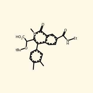 CCNC(=O)c1ccc2c(-c3ccc(C)c(C)c3)c(C(OC(C)(C)C)C(=O)O)n(C)c(=O)c2c1